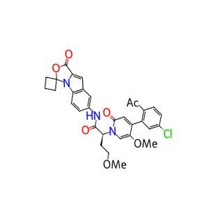 COCC[C@@H](C(=O)Nc1ccc2c(c1)cc1n2C2(CCC2)OC1=O)n1cc(OC)c(-c2cc(Cl)ccc2C(C)=O)cc1=O